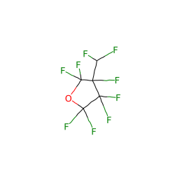 FC(F)C1(F)C(F)(F)OC(F)(F)C1(F)F